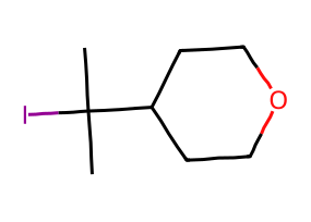 CC(C)(I)C1CCOCC1